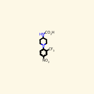 O=C(O)NC1CCN(c2ccc([N+](=O)[O-])cc2C(F)(F)F)CC1